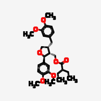 CCC(CC)C(=O)OC[C@H]1[C@@H](Cc2ccc(OC)c(OC)c2)CO[C@@H]1c1ccc(OC)c(OC)c1